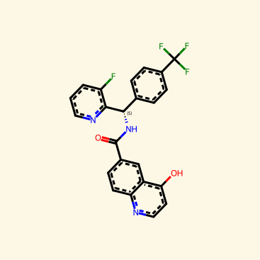 O=C(N[C@@H](c1ccc(C(F)(F)F)cc1)c1ncccc1F)c1ccc2nccc(O)c2c1